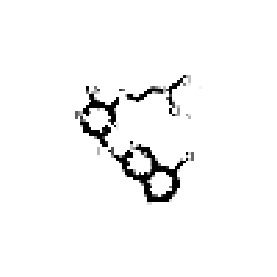 CN(C)CCOc1nc(Nc2cc3cccc(Cl)c3cn2)cnc1C#N